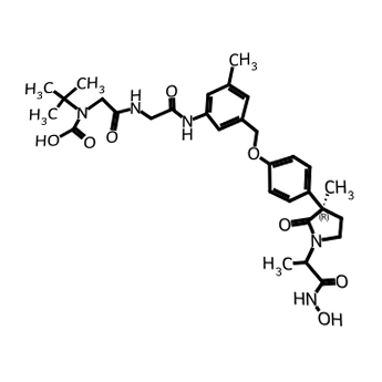 Cc1cc(COc2ccc([C@@]3(C)CCN(C(C)C(=O)NO)C3=O)cc2)cc(NC(=O)CNC(=O)CN(C(=O)O)C(C)(C)C)c1